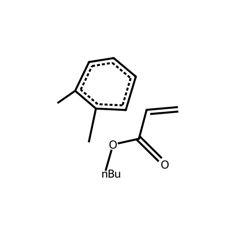 C=CC(=O)OCCCC.Cc1ccccc1C